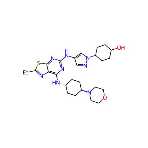 CCc1nc2c(N[C@H]3CC[C@H](N4CCOCC4)CC3)nc(Nc3cnn(C4CCC(O)CC4)c3)nc2s1